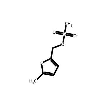 Cc1ccc(COS(C)(=O)=O)s1